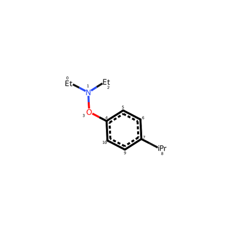 CCN(CC)Oc1ccc(C(C)C)cc1